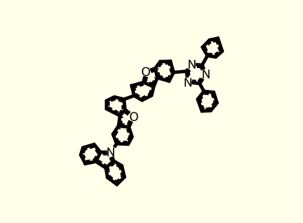 c1ccc(-c2nc(-c3ccccc3)nc(-c3ccc4oc5cc(-c6cccc7c6oc6ccc(-n8c9ccccc9c9ccccc98)cc67)ccc5c4c3)n2)cc1